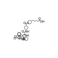 O=C(O)CCCCC1CCN(C(=O)C2CCC(NC(=O)[C@@H]3NC4(CCCCC4)[C@@]4(C(=O)Nc5cc(Cl)ccc54)[C@H]3c3cccc(Cl)c3F)CC2)CC1